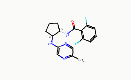 Cc1cnc(N[C@H]2CCC[C@@H]2NC(=O)c2c(F)cccc2F)cn1